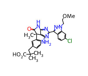 COCCn1nc(-c2nc(N)c3c(n2)NC(=O)[C@@]3(C)c2cccc(CC(C)(C)C(=O)O)c2)c2ccc(Cl)cc21